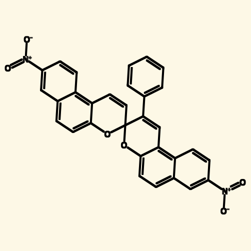 O=[N+]([O-])c1ccc2c3c(ccc2c1)OC1(C=C3)Oc2ccc3cc([N+](=O)[O-])ccc3c2C=C1c1ccccc1